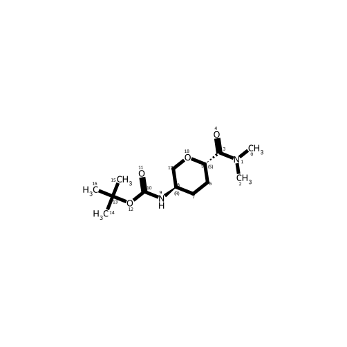 CN(C)C(=O)[C@@H]1CC[C@@H](NC(=O)OC(C)(C)C)CO1